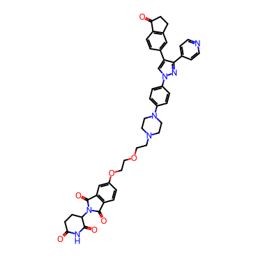 O=C1CCC(N2C(=O)c3ccc(OCCOCCN4CCN(c5ccc(-n6cc(-c7ccc8c(c7)CCC8=O)c(-c7ccncc7)n6)cc5)CC4)cc3C2=O)C(=O)N1